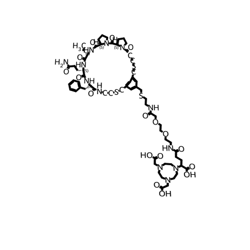 CC[C@@H]1NC(=O)[C@@H]2CCCN2C(=O)[C@@H]2CCCN2C(=O)CCSCc2cc(CSCCNC(=O)COCCOCCNC(=O)CCC(C(=O)O)N3CCN(CC(=O)O)CCN(CC(=O)O)CC3)cc(c2)CSCCNC(=O)[C@H](Cc2ccccc2)NC(=O)[C@H](CCC(N)=O)NC1=O